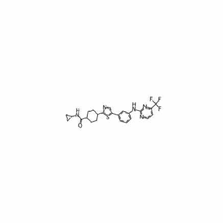 O=C(NC1CC1)C1CCC(c2ncc(-c3cccc(Nc4nccc(C(F)(F)F)n4)c3)s2)CC1